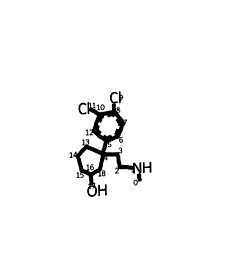 CNCCC1(c2ccc(Cl)c(Cl)c2)CCCC(O)C1